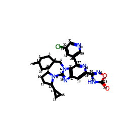 CC1CCC(Cn2c(N3CCCC3C3CC3)nc3cc(-c4noc(=O)[nH]4)nc(-c4cncc(Cl)c4)c32)CC1